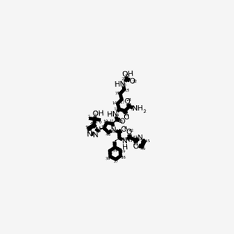 CC(C)(O)c1cnnn1[C@H]1C[C@@H](C(=O)NC(CCCCNC(=O)O)C(=O)C(N)=O)N(C(=O)[C@@H](CC2CCCCC2)NC(=O)c2ncco2)C1